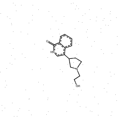 O=c1[nH]cc(C2CCN(CCO)C2)c2ccccc12